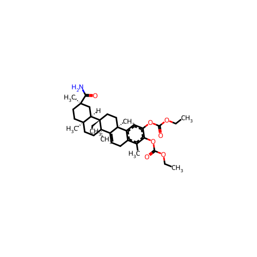 CCOC(=O)Oc1cc2c(c(C)c1OC(=O)OCC)CC=C1[C@@]2(C)CC[C@@]2(CC)[C@@H]3C[C@](C)(C(N)=O)CC[C@]3(C)CC[C@]12C